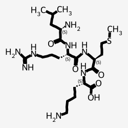 CSCC[C@H](NC(=O)[C@H](CCCNC(=N)N)NC(=O)[C@@H](N)CC(C)C)C(=O)N[C@@H](CCCCN)C(=O)O